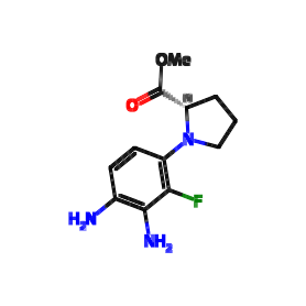 COC(=O)[C@@H]1CCCN1c1ccc(N)c(N)c1F